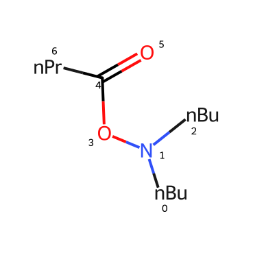 CCCCN(CCCC)OC(=O)CCC